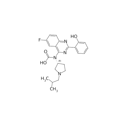 CC(C)CN1CC[C@@H](N(C(=O)O)c2nc(-c3ccccc3O)nc3ccc(F)cc23)C1